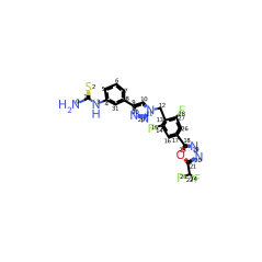 NC(=S)Nc1cccc(-c2cn(Cc3c(F)cc(-c4nnc(C(F)F)o4)cc3F)nn2)c1